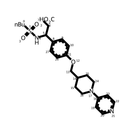 CCCCS(=O)(=O)NC(CC(=O)O)c1ccc(OCC2CCN(c3ccncc3)CC2)cc1